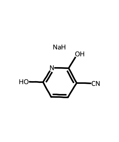 N#Cc1ccc(O)nc1O.[NaH]